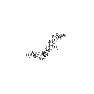 CCC(CC)(COc1cc(C)c(-c2ccc(-c3nc(OC(C)C)n(COCC[Si](C)(C)C)n3)nc2)cn1)C(=O)OC(C)(C)C